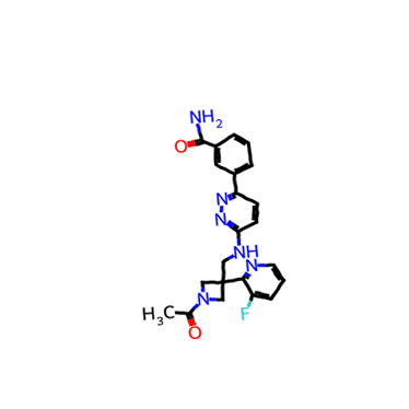 CC(=O)N1CC(CNc2ccc(-c3cccc(C(N)=O)c3)nn2)(c2ncccc2F)C1